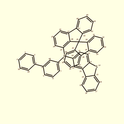 c1ccc(-c2cccc(N(c3ccc4sc5ccccc5c4c3)c3cccc4c3C3(c5ccccc5-c5ccccc53)c3ccccc3-4)c2)cc1